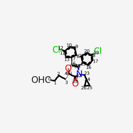 O=CCCC[C@@H]1O[C@@H](c2cccc(Cl)c2)[C@@H](c2ccc(Cl)cc2)N(CC2CC2)C1=O